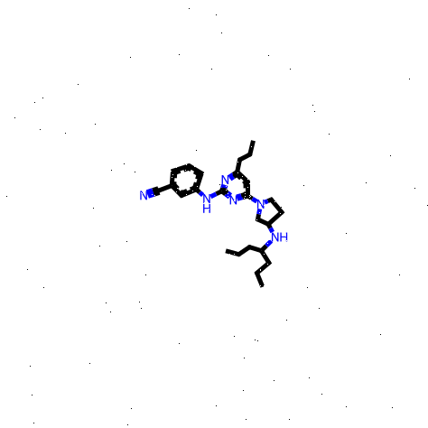 CCCc1cc(N2CCC(NC(CCC)CCC)C2)nc(Nc2cccc(C#N)c2)n1